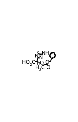 CC(ON=C(C(=O)O)c1nsc(N)n1)C(=O)OCc1ccccc1